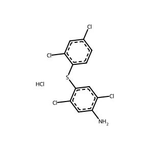 Cl.Nc1cc(Cl)c(Sc2ccc(Cl)cc2Cl)cc1Cl